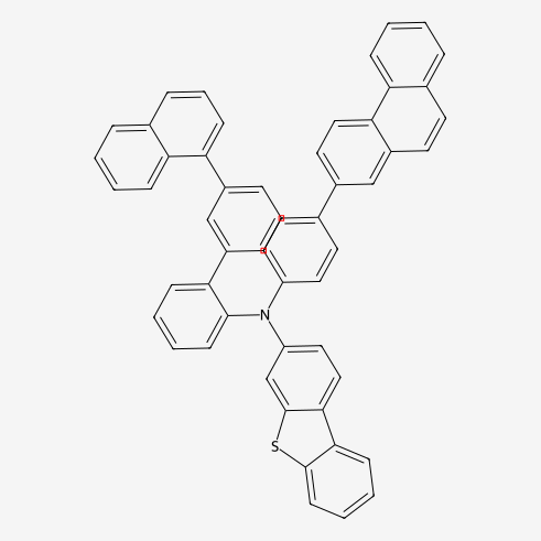 c1cc(-c2ccccc2N(c2ccc(-c3ccc4c(ccc5ccccc54)c3)cc2)c2ccc3c(c2)sc2ccccc23)cc(-c2cccc3ccccc23)c1